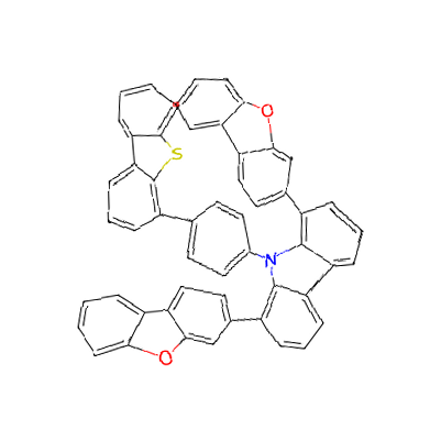 c1ccc2c(c1)oc1cc(-c3cccc4c5cccc(-c6ccc7c(c6)oc6ccccc67)c5n(-c5ccc(-c6cccc7c6sc6ccccc67)cc5)c34)ccc12